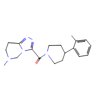 CN1CCc2nnc(C(=O)N3CCC(c4ccccc4C(F)(F)F)CC3)n2C1